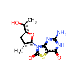 C[C@H](O)[C@@H]1C[C@@H](C)[C@H](n2c(=O)sc3c(=O)[nH]c(N)nc32)O1